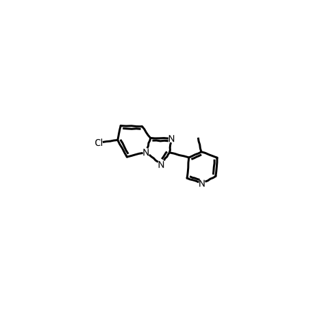 Cc1ccncc1-c1nc2ccc(Cl)cn2n1